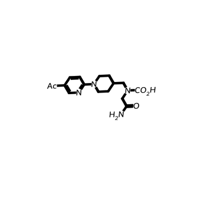 CC(=O)c1ccc(N2CCC(CN(CC(N)=O)C(=O)O)CC2)nc1